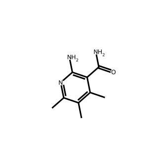 Cc1nc(N)c(C(N)=O)c(C)c1C